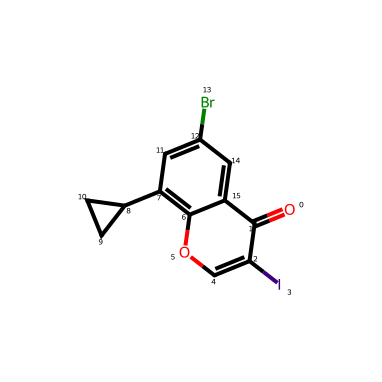 O=c1c(I)coc2c(C3CC3)cc(Br)cc12